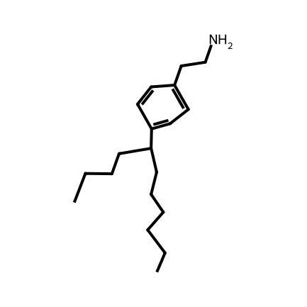 CCCCCCC(CCCC)c1ccc(CCN)cc1